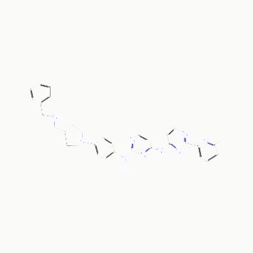 Cc1cccc(-c2nccc(Nc3ccnc(Nc4ccc(N5CCC(CNCc6ccccc6)CC5)cc4)n3)n2)n1